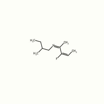 C/C=C(F)\C(C)=N/CC(C)CC